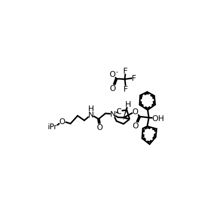 CC(C)OCCCNC(=O)C[N+]12CCC(CC1)[C@@H](OC(=O)C(O)(c1ccccc1)c1ccccc1)C2.O=C([O-])C(F)(F)F